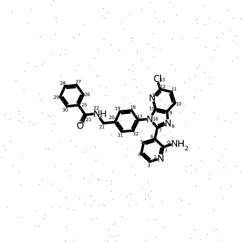 Nc1ncccc1-c1nc2ccc(Cl)nc2n1-c1ccc(CNC(=O)c2ccccc2)cc1